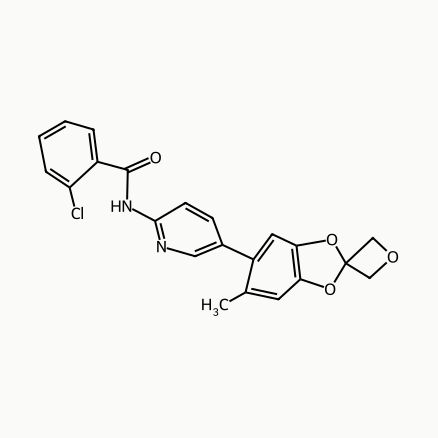 Cc1cc2c(cc1-c1ccc(NC(=O)c3ccccc3Cl)nc1)OC1(COC1)O2